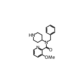 COc1cccnc1C(=O)N(Cc1ccccc1)C1CCNCC1